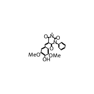 COc1cc(/C=C2/C(=O)N(C)C(=O)N(c3ccccc3)C2=O)cc(OC)c1O